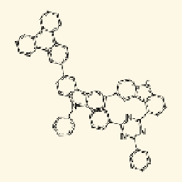 c1ccc(-c2nc(-c3ccccc3)nc(-c3cccc4sc5ccc(-c6ccc7c(c6)c6cc(-c8ccc9c%10ccccc%10c%10ccccc%10c9c8)ccc6n7-c6ccccc6)cc5c34)n2)cc1